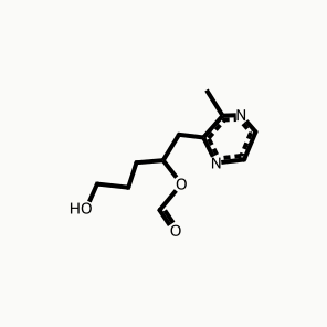 Cc1nccnc1CC(CCCO)OC=O